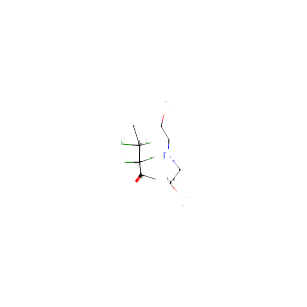 COC(=O)C(Cl)(Cl)C(C)(Cl)Cl.OCCNCCO